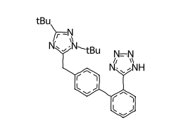 CC(C)(C)c1nc(Cc2ccc(-c3ccccc3-c3nnn[nH]3)cc2)n(C(C)(C)C)n1